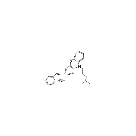 CN(C)CCCN1c2ccccc2Sc2cc(-c3cc4ccccc4[nH]3)ccc21